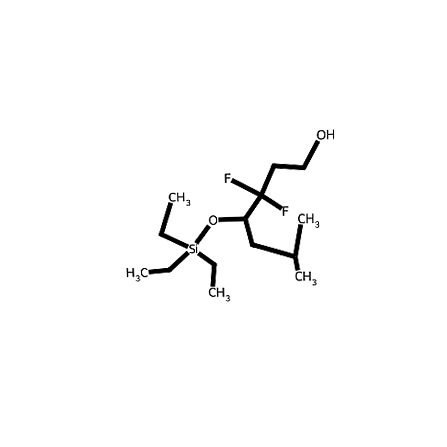 CC[Si](CC)(CC)OC(CC(C)C)C(F)(F)CCO